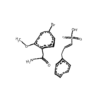 COc1cc(Br)ccc1C(N)=O.O=S(=O)(O)/C=C/c1ccccc1